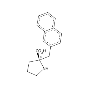 O=C(O)[C@]1(Cc2ccc3ccccc3c2)CCCN1